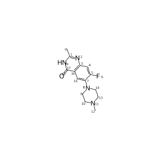 Cc1nc2cc(F)c(N3CCN(C)CC3)cc2c(=O)[nH]1